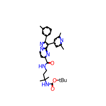 Cc1cccc(-c2nn3ccc(C(=O)NCCC(C)(C)NC(=O)OC(C)(C)C)nc3c2-c2cc(C)nc(C)c2)c1